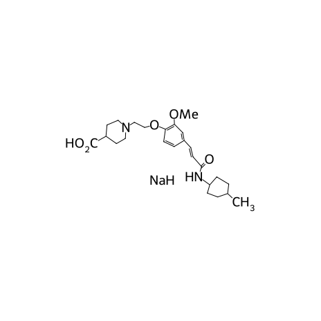 COc1cc(C=CC(=O)NC2CCC(C)CC2)ccc1OCCN1CCC(C(=O)O)CC1.[NaH]